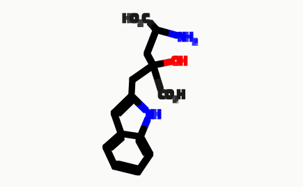 NC(CC(O)(Cc1cc2ccccc2[nH]1)C(=O)O)C(=O)O